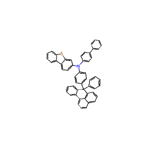 c1ccc(-c2ccc(N(c3ccc(C4(c5ccccc5)c5ccccc5-c5cccc6cccc4c56)cc3)c3ccc4c(c3)sc3ccccc34)cc2)cc1